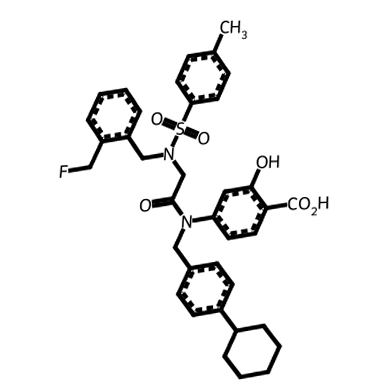 Cc1ccc(S(=O)(=O)N(CC(=O)N(Cc2ccc(C3CCCCC3)cc2)c2ccc(C(=O)O)c(O)c2)Cc2ccccc2CF)cc1